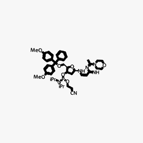 COc1ccc(C(OC[C@H]2O[C@@H](N/C=C\C(=N)/N=C(/C)N3CCOCC3)CC2OP(OCCC#N)N(C(C)C)C(C)C)(c2ccccc2)c2ccc(OC)cc2)cc1